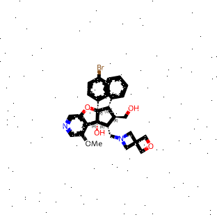 COc1cncc2c1[C@]1(O)[C@@H](CN3CC4(COC4)C3)[C@H](CO)[C@@H](c3ccccc3)[C@]1(c1ccc(Br)cc1)O2